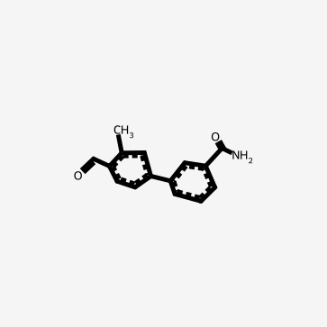 Cc1cc(-c2cccc(C(N)=O)c2)ccc1C=O